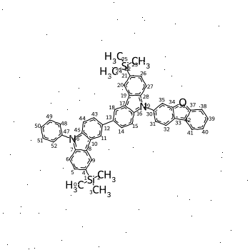 C[Si](C)(C)c1ccc2c(c1)c1cc(-c3ccc4c(c3)c3cc([Si](C)(C)C)ccc3n4-c3ccc4c(c3)oc3ccccc34)ccc1n2-c1ccccc1